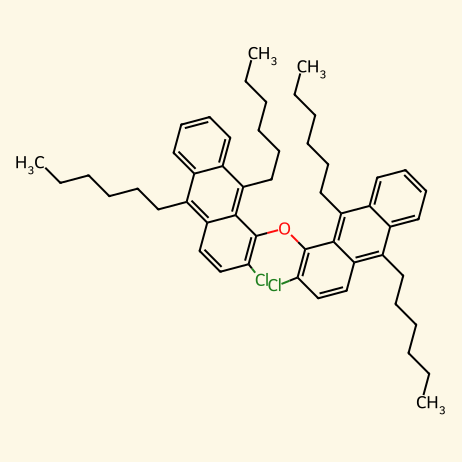 CCCCCCc1c2ccccc2c(CCCCCC)c2c(Oc3c(Cl)ccc4c(CCCCCC)c5ccccc5c(CCCCCC)c34)c(Cl)ccc12